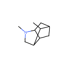 CC1C2CC3C1CN(C)C3C2